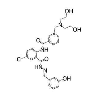 O=C(Nc1ccc(Cl)cc1C(=O)N/N=C/c1cccc(O)c1)c1cccc(CN(CCO)CCO)c1